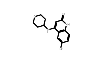 O=c1cc(NC2CCOCC2)c2cc(Br)ccc2[nH]1